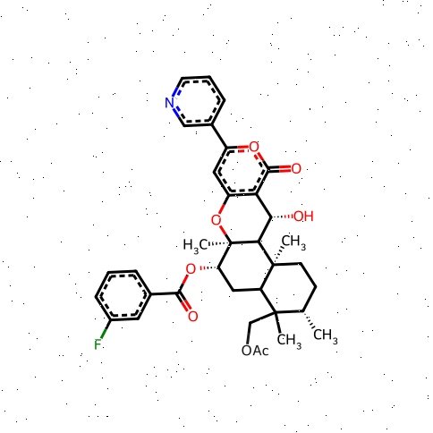 CC(=O)OCC1(C)C2C[C@H](OC(=O)c3cccc(F)c3)[C@@]3(C)Oc4cc(-c5cccnc5)oc(=O)c4[C@H](O)C3[C@@]2(C)CC[C@@H]1C